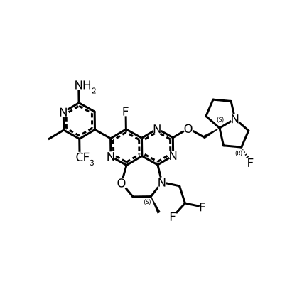 Cc1nc(N)cc(-c2nc3c4c(nc(OC[C@@]56CCCN5C[C@H](F)C6)nc4c2F)N(CC(F)F)[C@@H](C)CO3)c1C(F)(F)F